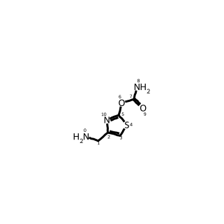 NCc1csc(OC(N)=O)n1